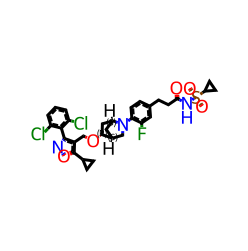 O=C(CCc1ccc(N2C[C@@H]3C[C@H]2C[C@H]3OCc2c(-c3c(Cl)cccc3Cl)noc2C2CC2)c(F)c1)NS(=O)(=O)C1CC1